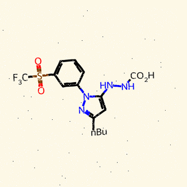 CCCCc1cc(NNC(=O)O)n(-c2cccc(S(=O)(=O)C(F)(F)F)c2)n1